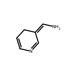 NC=C1C=N[C]=CC1